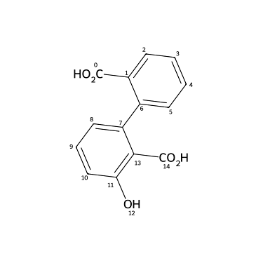 O=C(O)c1ccccc1-c1cccc(O)c1C(=O)O